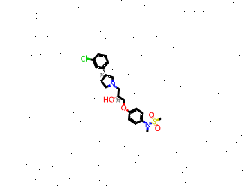 CN(c1ccc(OC[C@H](O)CN2CC[C@H](c3cccc(Cl)c3)C2)cc1)S(C)(=O)=O